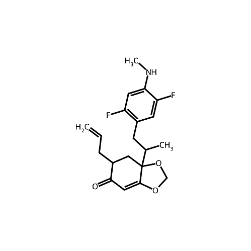 C=CCC1CC2(C(C)Cc3cc(F)c(NC)cc3F)OCOC2=CC1=O